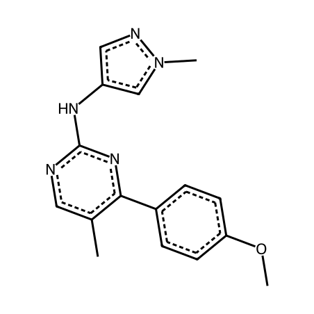 COc1ccc(-c2nc(Nc3cnn(C)c3)ncc2C)cc1